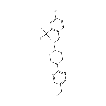 CCc1cnc(N2CCC(COc3ccc(Br)cc3C(F)(F)F)CC2)nc1